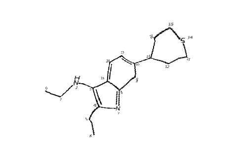 CCNC1=C(CC)N=C2CC(C3CCSCC3)=CC=C21